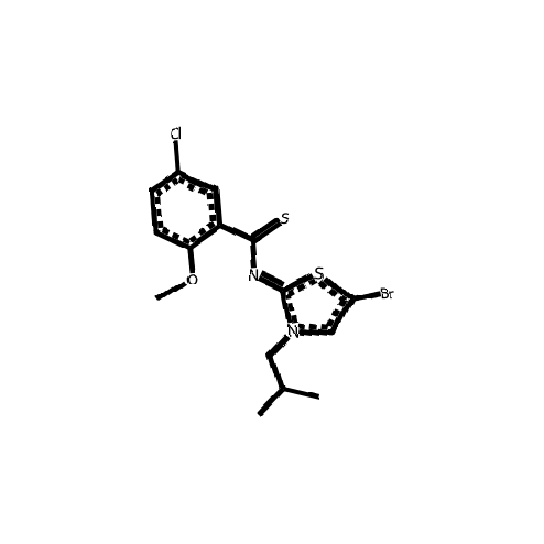 COc1ccc(Cl)cc1C(=S)N=c1sc(Br)cn1CC(C)C